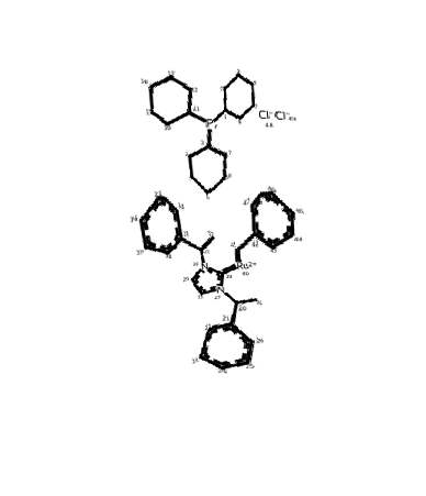 C1CCC(P(C2CCCCC2)C2CCCCC2)CC1.CC(c1ccccc1)n1ccn(C(C)c2ccccc2)[c]1=[Ru+2]=[CH]c1ccccc1.[Cl-].[Cl-]